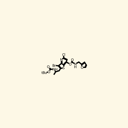 CC(Cc1sc2c(OC(=O)NCc3ccco3)cc(Cl)nc2c1Br)NC(=O)OC(C)(C)C